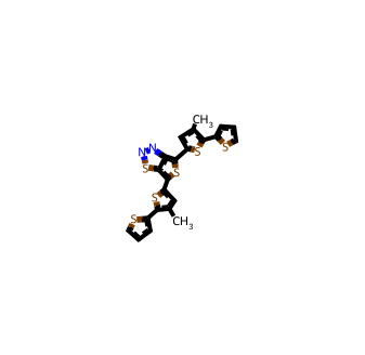 Cc1cc(-c2sc(-c3cc(C)c(-c4cccs4)s3)c3snnc23)sc1-c1cccs1